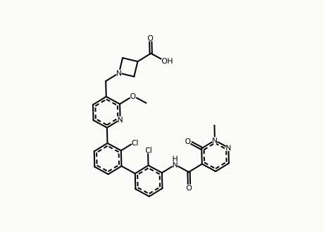 COc1nc(-c2cccc(-c3cccc(NC(=O)c4ccnn(C)c4=O)c3Cl)c2Cl)ccc1CN1CC(C(=O)O)C1